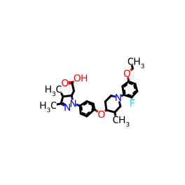 CCOc1ccc(F)c(N2CCC(Oc3ccc(N4N=C(C)C(C)C4CC(=O)O)cc3)C(C)C2)c1